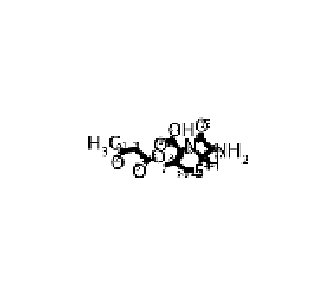 CC(=O)CC(=O)OCC1=C(C(=O)O)N2C(=O)[C@@H](N)[C@@H]2SC1